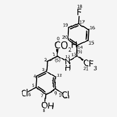 O=C(O)[C@H](Cc1cc(Cl)c(O)c(Cl)c1)N[C@@H](c1ccc(F)cc1)C(F)(F)F